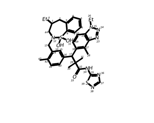 CCC1Cc2ccccc2S(O)(O)N(Cc2cc(C(c3ccc4c(nnn4CC)c3C)C(C)(C)C(=O)Nc3ncns3)ccc2C)C1